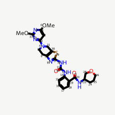 COc1cc(N2CCc3nc(NC(=O)Nc4ccccc4C(=O)NC4CCCOC4)sc3C2)nc(OC)n1